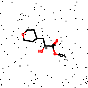 COC(=O)[C@H](O)CC1CCOCC1